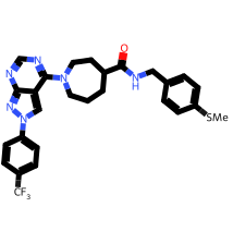 CSc1ccc(CNC(=O)C2CCCN(c3ncnc4nn(-c5ccc(C(F)(F)F)cc5)cc34)CC2)cc1